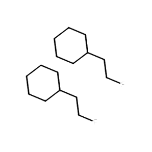 FCCC1CCCCC1.FCCC1CCCCC1